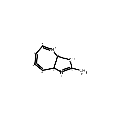 CC1=NC2C=C=CC=NC2S1